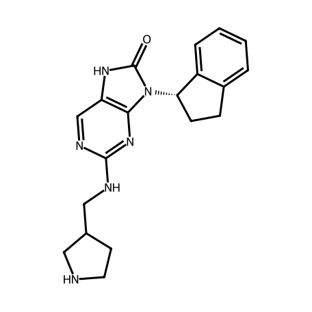 O=c1[nH]c2cnc(NCC3CCNC3)nc2n1[C@H]1CCc2ccccc21